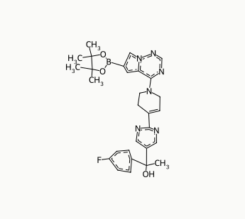 CC(O)(c1ccc(F)cc1)c1cnc(C2=CCN(c3ncnn4cc(B5OC(C)(C)C(C)(C)O5)cc34)CC2)nc1